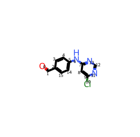 O=Cc1ccc(Nc2cc(Cl)ncn2)cc1